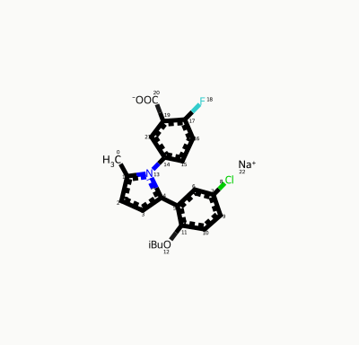 Cc1ccc(-c2cc(Cl)ccc2OCC(C)C)n1-c1ccc(F)c(C(=O)[O-])c1.[Na+]